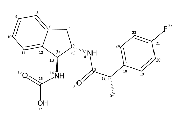 C[C@H](C(=O)N[C@H]1Cc2ccccc2[C@@H]1NC(=O)O)c1ccc(F)cc1